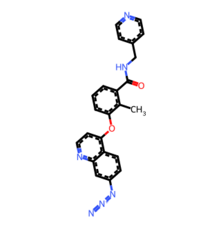 Cc1c(Oc2ccnc3cc(N=[N+]=[N-])ccc23)cccc1C(=O)NCc1ccncc1